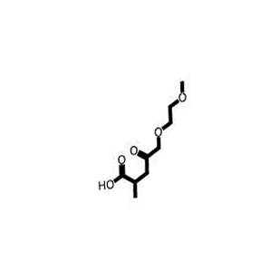 COCCOCC(=O)CC(C)C(=O)O